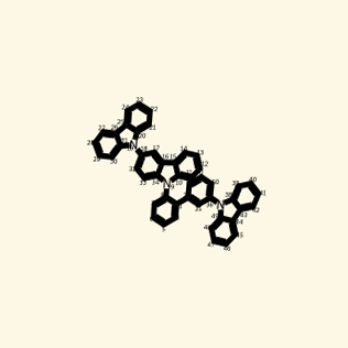 c1cc(-c2ccccc2-n2c3ccccc3c3cc(-n4c5ccccc5c5ccccc54)ccc32)cc(-n2c3ccccc3c3ccccc32)c1